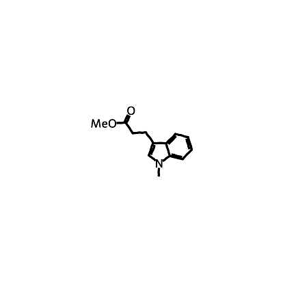 COC(=O)CCc1cn(C)c2ccccc12